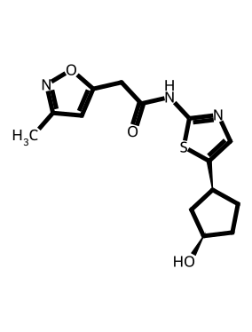 Cc1cc(CC(=O)Nc2ncc([C@H]3CC[C@@H](O)C3)s2)on1